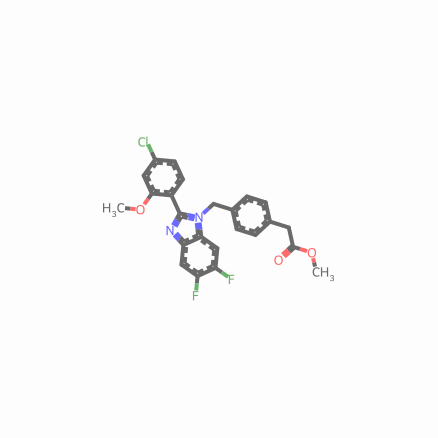 COC(=O)Cc1ccc(Cn2c(-c3ccc(Cl)cc3OC)nc3cc(F)c(F)cc32)cc1